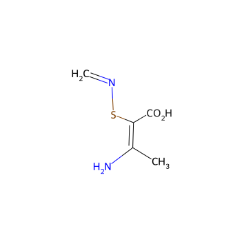 C=NS/C(C(=O)O)=C(/C)N